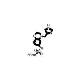 CCCCCS(=O)(=O)Nc1ccc2c(c1)N(Cc1c[nH]cn1)CCO2